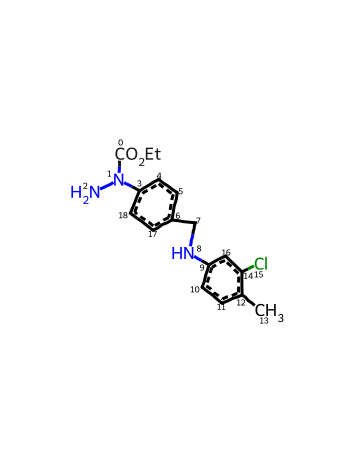 CCOC(=O)N(N)c1ccc(CNc2ccc(C)c(Cl)c2)cc1